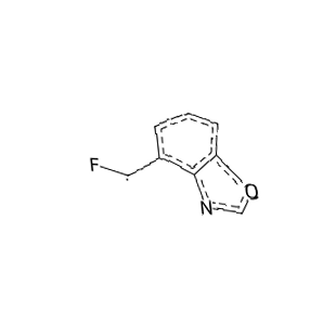 F[CH]c1cccc2ocnc12